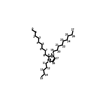 CCCCCCCCCC1N(CCCCC)C=CN1CCCCCCCCC